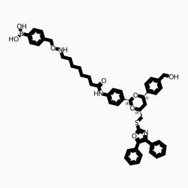 O=C(CCCCCCCNOCc1ccc(B(O)O)cc1)Nc1ccc([C@H]2O[C@@H](CSc3nc(-c4ccccc4)c(-c4ccccc4)o3)C[C@@H](c3ccc(CO)cc3)O2)cc1